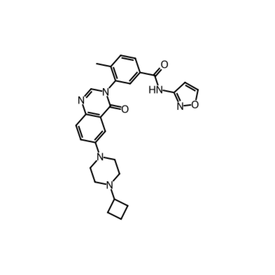 Cc1ccc(C(=O)Nc2ccon2)cc1-n1cnc2ccc(N3CCN(C4CCC4)CC3)cc2c1=O